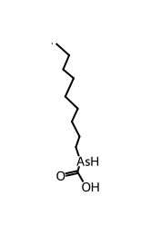 [CH2]CCCCCCCC[AsH]C(=O)O